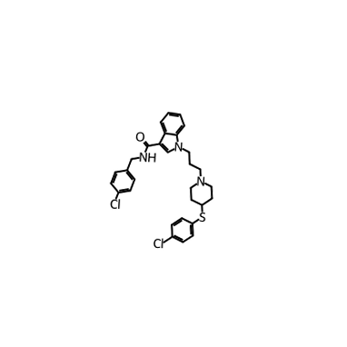 O=C(NCc1ccc(Cl)cc1)c1cn(CCCN2CCC(Sc3ccc(Cl)cc3)CC2)c2ccccc12